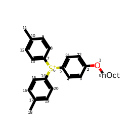 CCCCCCCCOc1ccc([S+](c2ccc(C)cc2)c2ccc(C)cc2)cc1